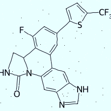 O=C1NCC2c3c(F)cc(-c4ccc(C(F)(F)F)s4)cc3-c3cc4[nH]cnc4cc3N12